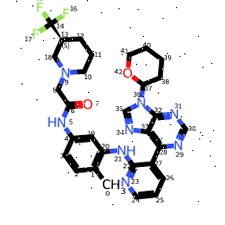 Cc1ccc(NC(=O)CN2CCC[C@H](C(F)(F)F)C2)cc1Nc1ncccc1-c1ncnc2c1ncn2C1CCCCO1